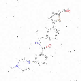 Cc1ccc(N2CCN(C)CC2)cc1C(=O)N[C@H](C)c1cccc(-c2ccc(C=O)s2)c1